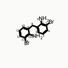 Nc1c(Br)cccc1Cc1cccc(Br)c1N